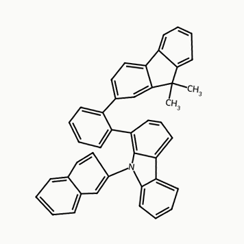 CC1(C)c2ccccc2-c2ccc(-c3ccccc3-c3cccc4c5ccccc5n(-c5ccc6ccccc6c5)c34)cc21